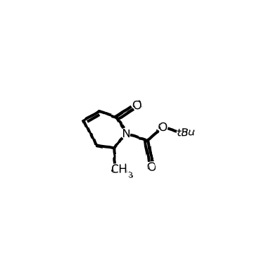 CC1CC=CC(=O)N1C(=O)OC(C)(C)C